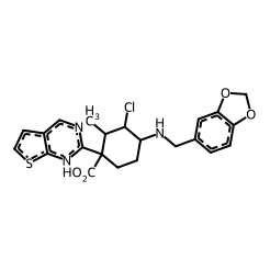 CC1C(Cl)C(NCc2ccc3c(c2)OCO3)CCC1(C(=O)O)c1ncc2ccsc2n1